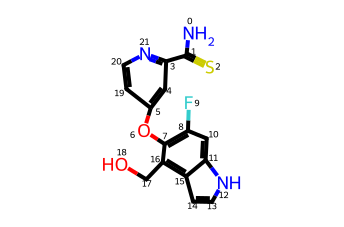 NC(=S)c1cc(Oc2c(F)cc3[nH]ccc3c2CO)ccn1